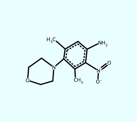 Cc1cc(N)c([N+](=O)[O-])c(C)c1N1CCOCC1